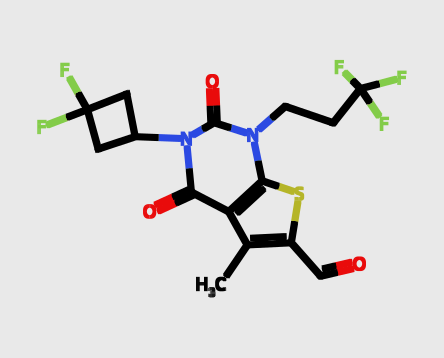 Cc1c(C=O)sc2c1c(=O)n(C1CC(F)(F)C1)c(=O)n2CCC(F)(F)F